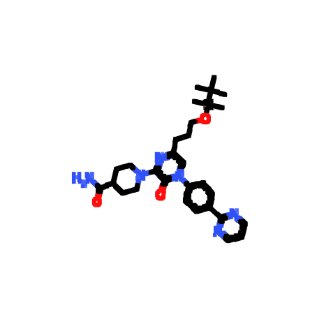 CC(C)(C)[Si](C)(C)OCCCc1cn(-c2ccc(-c3ncccn3)cc2)c(=O)c(N2CCC(C(N)=O)CC2)n1